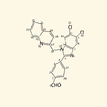 O=Cc1ccc(-c2nc3cc(Cl)c(Cl)cc3n2Cc2ccc3ccccc3n2)cc1